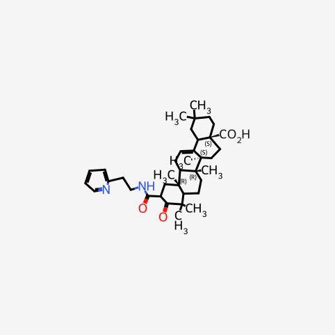 CC1(C)CC[C@]2(C(=O)O)CC[C@]3(C)C(=CCC4[C@@]5(C)CC(C(=O)NCCc6ccccn6)C(=O)C(C)(C)C5CC[C@]43C)C2C1